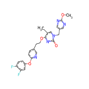 COc1ncc(Cn2cc(C)c(OCCc3ccc(Oc4ccc(F)c(F)c4)nc3)nc2=O)cn1